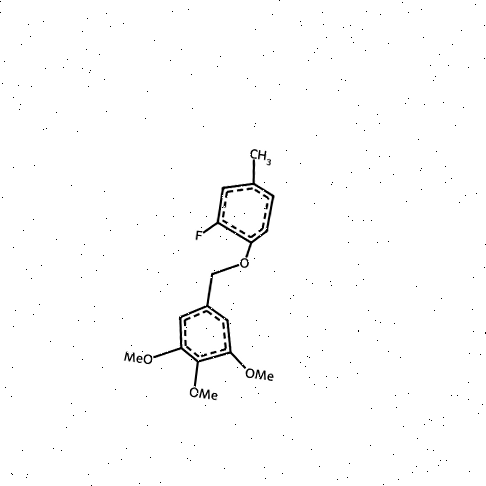 COc1cc(COc2ccc(C)cc2F)cc(OC)c1OC